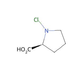 O=C(O)[C@@H]1CCCN1Cl